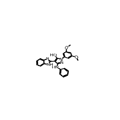 COc1cc(OC)cc(-n2nc(Nc3ccccc3)c(-c3nc4ccccc4[nH]3)c2O)c1